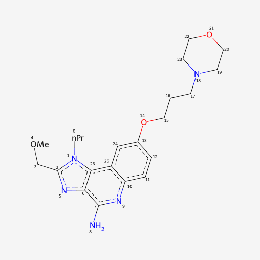 CCCn1c(COC)nc2c(N)nc3ccc(OCCCN4CCOCC4)cc3c21